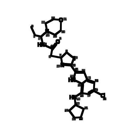 CCC(NC(=O)CC1CSC(c2cc3cc(Cl)cc(NC4CCCC4)c3[nH]2)=N1)N1CCOCC1